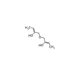 CC=C(O)COCC(O)=CC